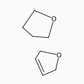 [CH]1C=CCO1.[CH]1CCCO1